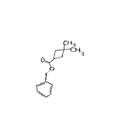 CC1(C)CC(C(=O)OCc2ccccc2)C1